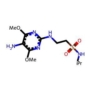 COc1nc(NCCS(=O)(=O)NC(C)C)nc(OC)c1N